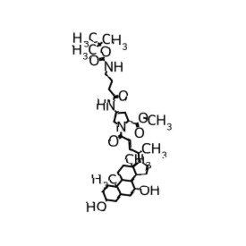 COC(=O)[C@@H]1C[C@H](NC(=O)CCCNC(=O)OC(C)(C)C)CN1C(=O)CC[C@@H](C)[C@H]1CCC2C3C(CC[C@@]21C)[C@@]1(C)CC[C@@H](O)CC1C[C@@H]3O